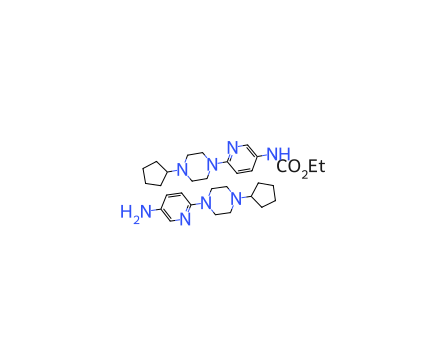 CCOC(=O)Nc1ccc(N2CCN(C3CCCC3)CC2)nc1.Nc1ccc(N2CCN(C3CCCC3)CC2)nc1